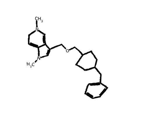 CN1C=c2c(COCC3CCC(Cc4ccccc4)CC3)cn(C)c2=CC1